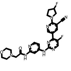 N#Cc1cc(-c2nc(Nc3ccnc(NC(=O)CN4CCOCC4)c3)ncc2F)cnc1N1CCC(F)C1